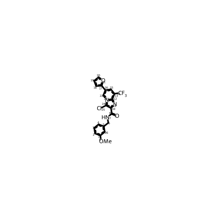 COc1cccc(CNC(=O)c2nc3c(C(F)(F)F)cc(-c4ccco4)cn3c2Cl)c1